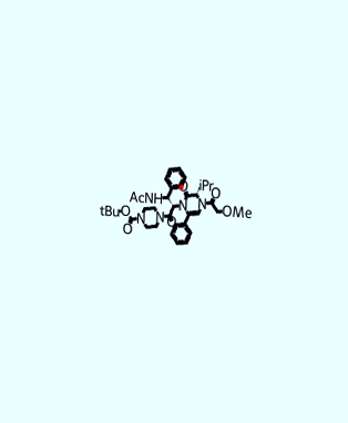 COCC(=O)N1C=C(c2ccccc2)N([C@H](C(=O)N2CCN(C(=O)OC(C)(C)C)CC2)C(NC(C)=O)c2ccccc2)C(=O)[C@@H]1C(C)C